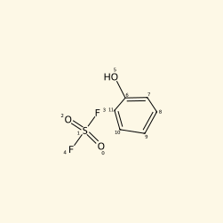 O=S(=O)(F)F.Oc1ccccc1